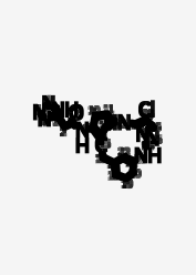 O=C(Cc1nnn[nH]1)Nc1ccc2cc1CCC1=CCCC(=C1)Nc1ncc(Cl)c(n1)N2